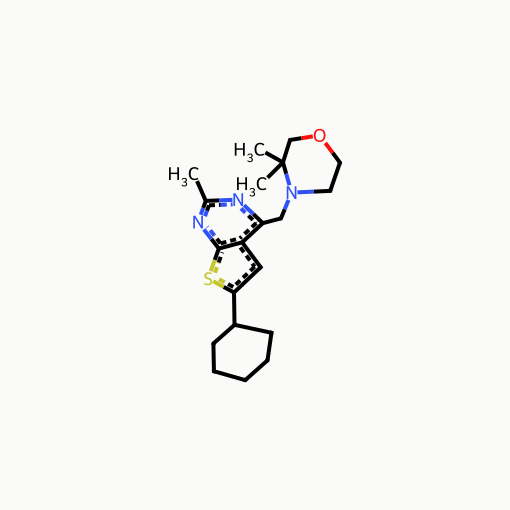 Cc1nc(CN2CCOCC2(C)C)c2cc(C3CCCCC3)sc2n1